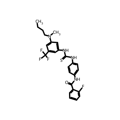 CCCCN(C)c1cc(NC(=S)Nc2ccc(NC(=O)c3ccccc3F)cc2)cc(C(F)(F)F)c1